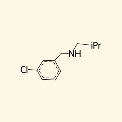 CC(C)CNCc1cccc(Cl)c1